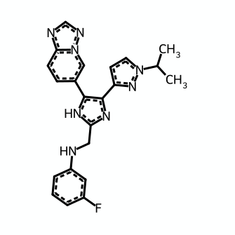 CC(C)n1ccc(-c2nc(CNc3cccc(F)c3)[nH]c2-c2ccc3ncnn3c2)n1